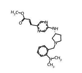 COC(=O)C=Cc1cnc(N[C@@H]2CCN(Cc3ccccc3N(C)C)C2)cn1